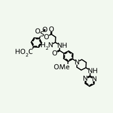 COc1cc(C(=O)NC(N)CC(=O)OS(=O)(=O)c2ccc(C(=O)O)cc2)ccc1N1CCC(Nc2ncccn2)CC1